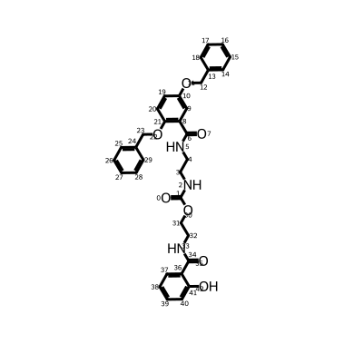 O=C(NCCNC(=O)c1cc(OCc2ccccc2)ccc1OCc1ccccc1)OCCNC(=O)c1ccccc1O